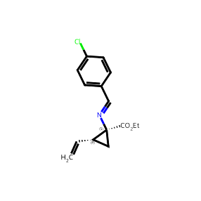 C=C[C@H]1C[C@@]1(N=Cc1ccc(Cl)cc1)C(=O)OCC